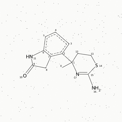 CC1(c2cccc3c2CC(=O)N3)CCSC(N)=N1